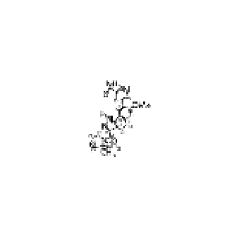 COc1cc2c(cc1-c1cncc(C(N)=O)c1)-c1c(c(C(=O)N3CCOCC3(C)C)nn1C(C)C)CC2